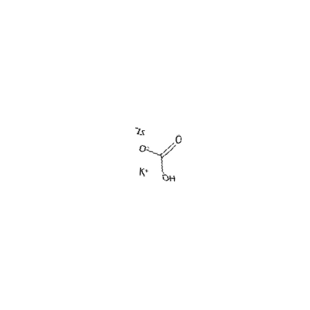 O=C([O-])O.[K+].[Zr]